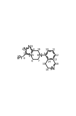 CC(C)c1nnc2n1CCN(c1cccc3c1CCN=C3)C2